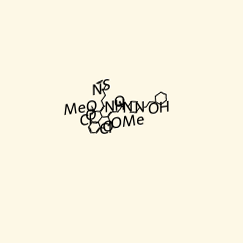 COC(=O)C1=C(CCc2nccs2)NC(CC(=O)N2CCN(CCC3(O)CCCCC3)CC2)=C(C(=O)OC)C1c1c(Cl)cccc1Cl